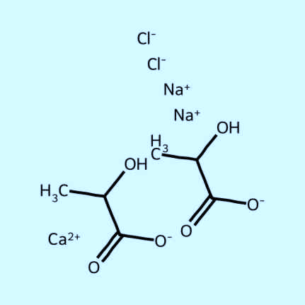 CC(O)C(=O)[O-].CC(O)C(=O)[O-].[Ca+2].[Cl-].[Cl-].[Na+].[Na+]